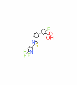 O=C(O)c1cc(-c2cccc(-c3csc(-c4ccc(C(F)(F)F)nc4)n3)c2)ccc1F